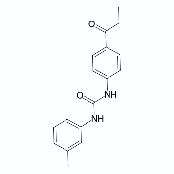 CCC(=O)c1ccc(NC(=O)Nc2cccc(C)c2)cc1